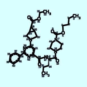 CCCCOC(=O)N1CCN(C(=O)[C@H](CCC)NC(=O)c2cc(N3CC4C(C3)C4C(=O)OCC)nc(-c3ccccc3)n2)CC1